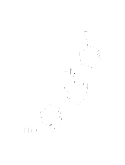 Oc1ccc(-c2ccnc(Nc3cccc(F)c3)n2)cn1